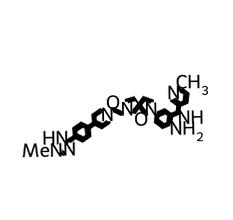 CN/C=N\C(=N)c1ccc(C2=CCN(C(=O)CN3CC[C@]4(CCN(c5ccc(N)c(C(=N)c6ccc(C)nc6)c5)C4=O)C3)CC2)cc1